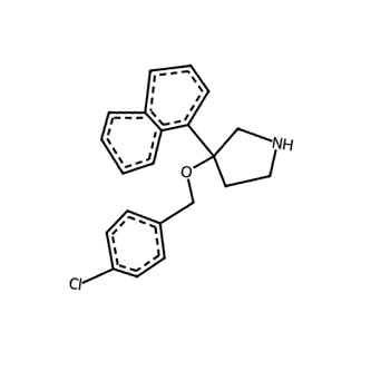 Clc1ccc(COC2(c3cccc4ccccc34)CCNC2)cc1